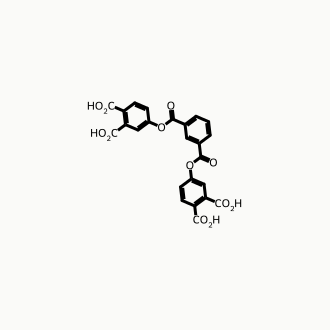 O=C(Oc1ccc(C(=O)O)c(C(=O)O)c1)c1cccc(C(=O)Oc2ccc(C(=O)O)c(C(=O)O)c2)c1